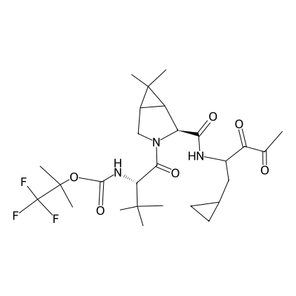 CC(=O)C(=O)C(CC1CC1)NC(=O)[C@@H]1C2C(CN1C(=O)[C@@H](NC(=O)OC(C)(C)C(F)(F)F)C(C)(C)C)C2(C)C